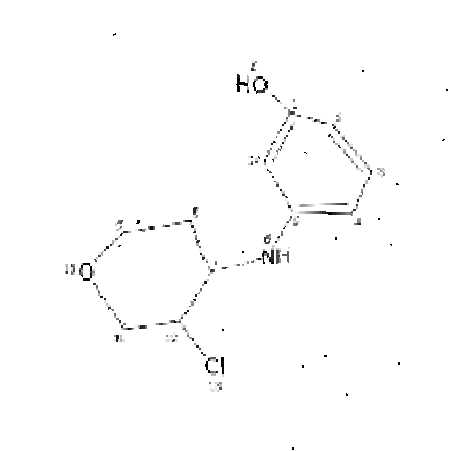 Oc1cccc(NC2CCO[CH]C2Cl)c1